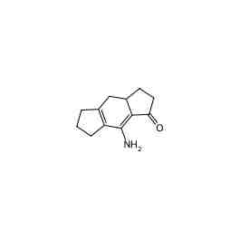 NC1=C2C(=O)CCC2CC2=C1CCC2